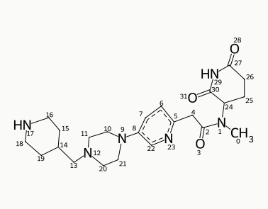 CN(C(=O)Cc1ccc(N2CCN(CC3CCNCC3)CC2)cn1)C1CCC(=O)NC1=O